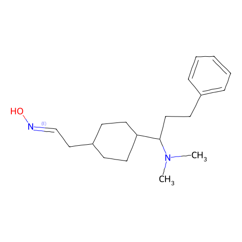 CN(C)C(CCc1ccccc1)C1CCC(C/C=N/O)CC1